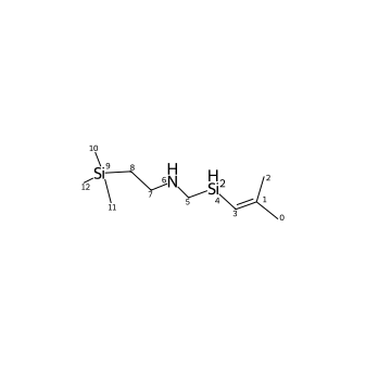 CC(C)=C[SiH2]CNCC[Si](C)(C)C